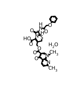 CCn1cc(C(=O)OCC2=C(C(=O)O)N3C(=O)[C@@H](NC(=O)COc4ccccc4)[C@H]3SC2)c(=O)c2ccc(C)nc21.O